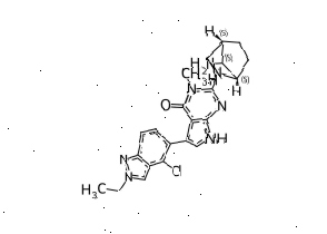 CCn1cc2c(Cl)c(-c3c[nH]c4nc(N5C[C@@H]6CC[C@H]5[C@H]6N)n(C)c(=O)c34)ccc2n1